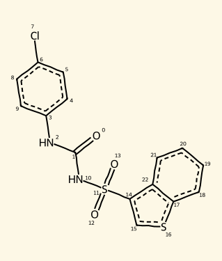 O=C(Nc1ccc(Cl)cc1)NS(=O)(=O)c1csc2ccccc12